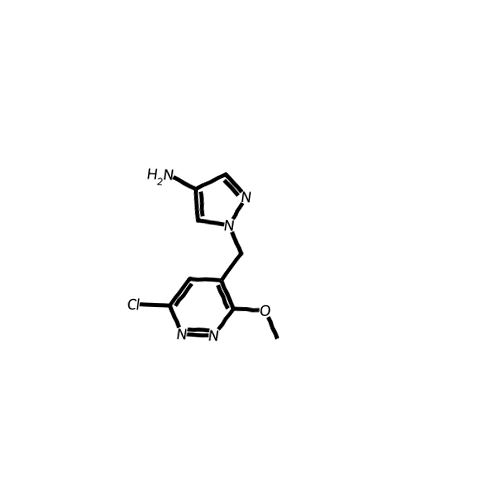 COc1nnc(Cl)cc1Cn1cc(N)cn1